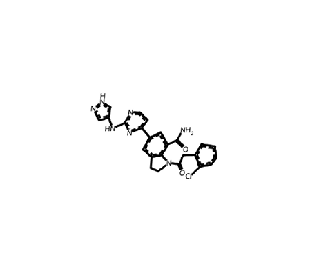 NC(=O)c1cc(-c2ccnc(Nc3cn[nH]c3)n2)cc2c1N(C(=O)Cc1ccccc1Cl)CC2